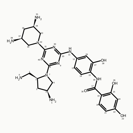 NC[C@@H]1C[C@H](N)CN1c1nc(Nc2ccc(NC(=O)c3ccc(O)cc3O)c(O)c2)nc(N2C[C@H](N)C[C@H](N)C2)n1